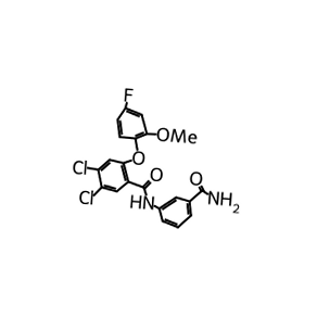 COc1cc(F)ccc1Oc1cc(Cl)c(Cl)cc1C(=O)Nc1cccc(C(N)=O)c1